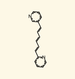 C(=CC=Cc1ccccn1)C=Cc1cccnc1